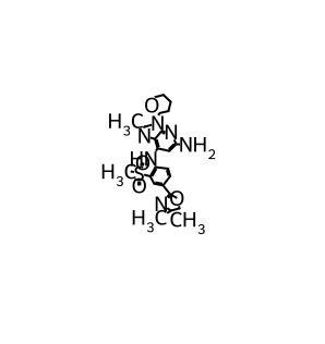 Cc1nc2c(Nc3ccc(C4=NC(C)(C)CO4)cc3S(C)(=O)=O)cc(N)nc2n1C1CCCCO1